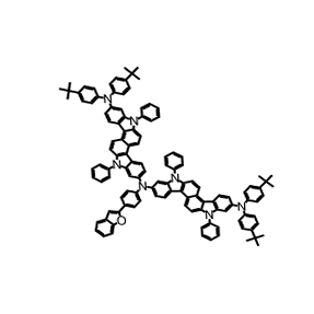 CC(C)(C)c1ccc(N(c2ccc(C(C)(C)C)cc2)c2ccc3c4c5ccc6c(c5ccc4n(-c4ccccc4)c3c2)c2ccc(N(c3ccc(-c4cc5ccccc5o4)cc3)c3ccc4c5c7ccc8c(c7ccc5n(-c5ccccc5)c4c3)c3ccc(N(c4ccc(C(C)(C)C)cc4)c4ccc(C(C)(C)C)cc4)cc3n8-c3ccccc3)cc2n6-c2ccccc2)cc1